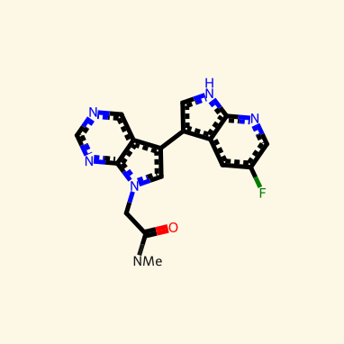 CNC(=O)Cn1cc(-c2c[nH]c3ncc(F)cc23)c2cncnc21